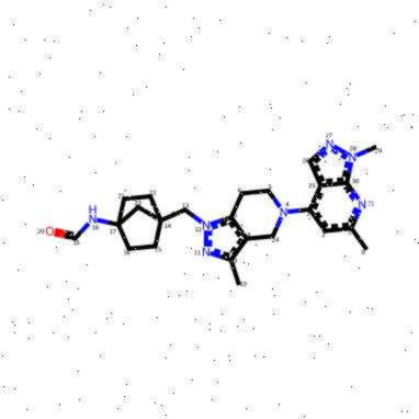 Cc1cc(N2CCc3c(c(C)nn3CC34CCC(NC=O)(CC3)C4)C2)c2cnn(C)c2n1